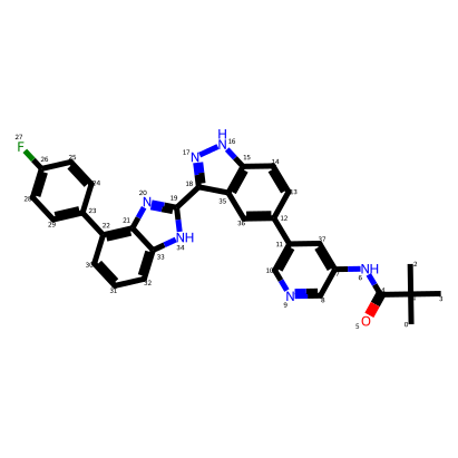 CC(C)(C)C(=O)Nc1cncc(-c2ccc3[nH]nc(-c4nc5c(-c6ccc(F)cc6)cccc5[nH]4)c3c2)c1